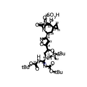 CC(C)(C)OC(=O)/N=C(\NCC(O[Si](C)(C)C(C)(C)C)c1cc([C@@H]2CC3(CC3)[C@@H]3CN2C(=O)N3OS(=O)(=O)O)no1)NC(=O)OC(C)(C)C